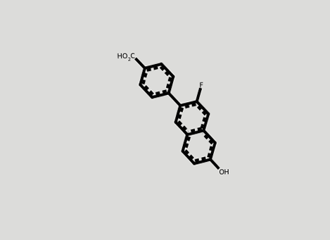 O=C(O)c1ccc(-c2cc3ccc(O)cc3cc2F)cc1